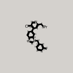 CC(C)Cc1cc(-c2ccc3ncn(Cc4cccc(F)c4)c3c2)c(Cl)cn1